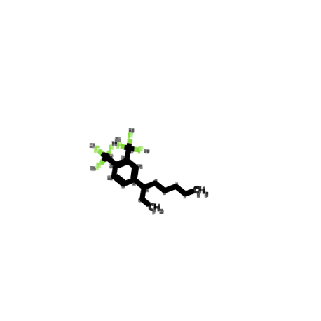 CCCCCC(CC)c1ccc(C(F)(F)F)c(C(F)(F)F)c1